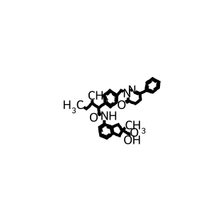 CCC(C)C(C(=O)Nc1cccc2c1CC(C)(C(=O)O)C2)c1ccc(CN2N=C(c3ccccc3)CCC2=O)cc1